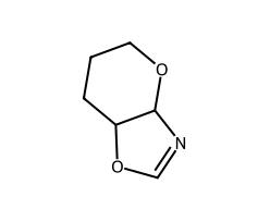 C1=NC2OCCCC2O1